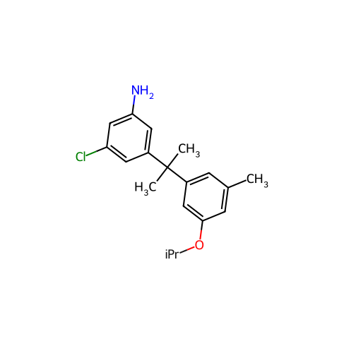 Cc1cc(OC(C)C)cc(C(C)(C)c2cc(N)cc(Cl)c2)c1